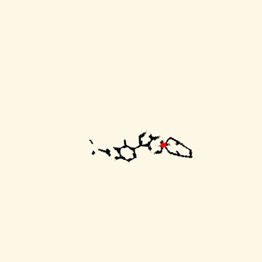 CN(C)c1nc2ccc(-c3c[nH]c4nc(N5[C@@H]6CC[C@H]5C[C@@H](N)C6)cnc34)c(Cl)c2s1